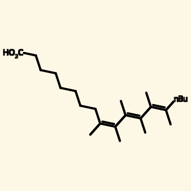 CCCC/C(C)=C(C)/C(C)=C(C)/C(C)=C(/C)CCCCCCCC(=O)O